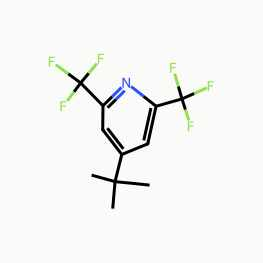 CC(C)(C)c1cc(C(F)(F)F)nc(C(F)(F)F)c1